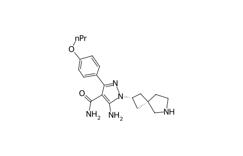 CCCOc1ccc(-c2nn([C@H]3C[C@@]4(CCNC4)C3)c(N)c2C(N)=O)cc1